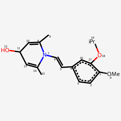 COc1ccc(/C=C/N2C(C)=CC(O)C=C2C)cc1OC(C)C